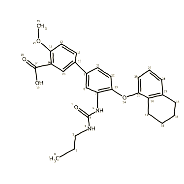 CCCNC(=O)Nc1cc(-c2ccc(OC)c(C(=O)O)c2)ccc1Oc1cccc2c1CCCC2